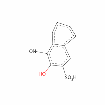 O=Nc1c(O)c(S(=O)(=O)O)cc2ccccc12